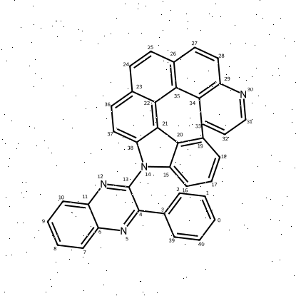 c1ccc(-c2nc3ccccc3nc2-n2c3cccc4c3c3c5c(ccc6ccc7nccc-4c7c65)ccc32)cc1